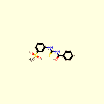 CS(=O)(=O)c1cccc(NC(=S)NC(=O)c2ccccc2)c1